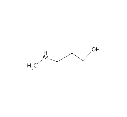 C[AsH]CCCO